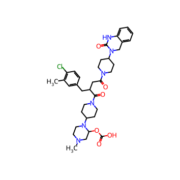 Cc1cc(CC(CC(=O)N2CCC(N3Cc4ccccc4NC3=O)CC2)C(=O)N2CCC(N3CCN(C)CC3OC(=O)O)CC2)ccc1Cl